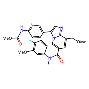 COCc1cc(C(=O)N(C)c2ccc(F)c(OC)c2)cn2c(-c3ccc(NC(=O)OC)nc3)cnc12